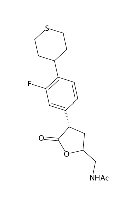 CC(=O)NCC1C[C@@H](c2ccc(C3CCSCC3)c(F)c2)C(=O)O1